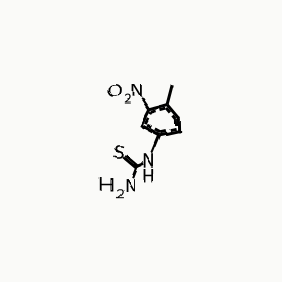 Cc1ccc(NC(N)=S)cc1[N+](=O)[O-]